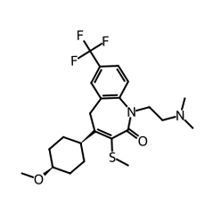 CO[C@H]1CC[C@@H](C2=C(SC)C(=O)N(CCN(C)C)c3ccc(C(F)(F)F)cc3C2)CC1